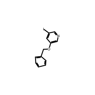 Ic1cncc(OCc2ccccc2)c1